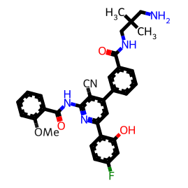 COc1ccccc1C(=O)Nc1nc(-c2ccc(F)cc2O)cc(-c2cccc(C(=O)NCC(C)(C)CN)c2)c1C#N